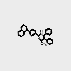 CC1=NC(c2ccc(-c3cccc4ccccc34)cc2)NC(c2ccccc2)=C1C1=CCCC=C1